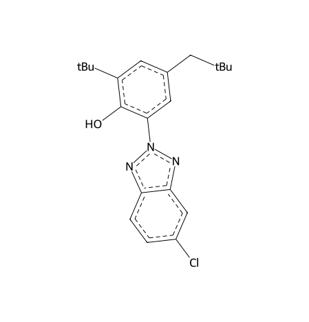 CC(C)(C)Cc1cc(-n2nc3ccc(Cl)cc3n2)c(O)c(C(C)(C)C)c1